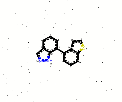 c1cc(-c2cccc3sccc23)c2[nH]ncc2c1